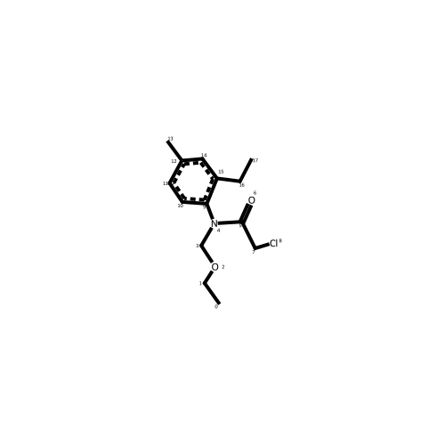 CCOCN(C(=O)CCl)c1ccc(C)cc1CC